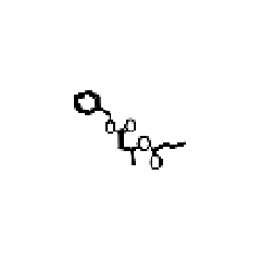 CCCC(=O)OC(C)CC(=O)OCc1ccccc1